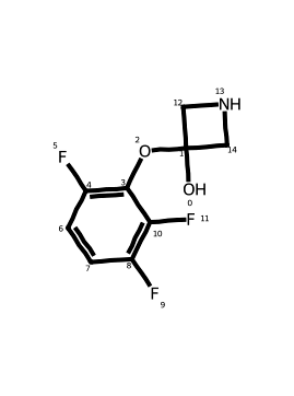 OC1(Oc2c(F)ccc(F)c2F)CNC1